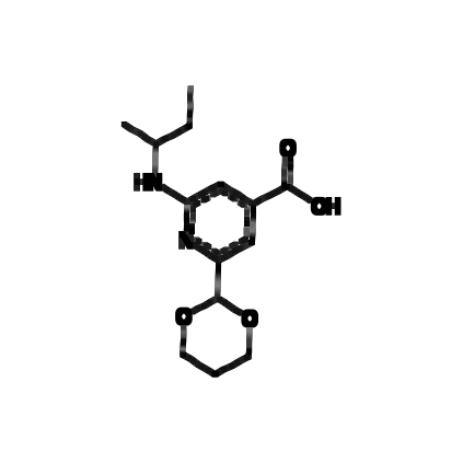 CCC(C)Nc1cc(C(=O)O)cc(C2OCCCO2)n1